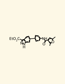 CCOC(=O)c1n[nH]c2cc(-c3ccc(NC(=O)c4cc(C)oc4C)cc3)ccc12